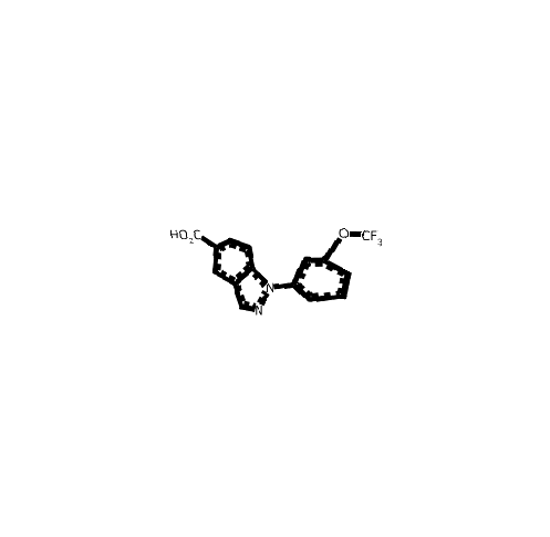 O=C(O)c1ccc2c(cnn2-c2cccc(OC(F)(F)F)c2)c1